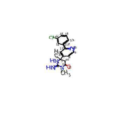 CN1C(=N)NC(C)(c2ccnc(-c3cccc(Cl)c3)c2)CC1=O